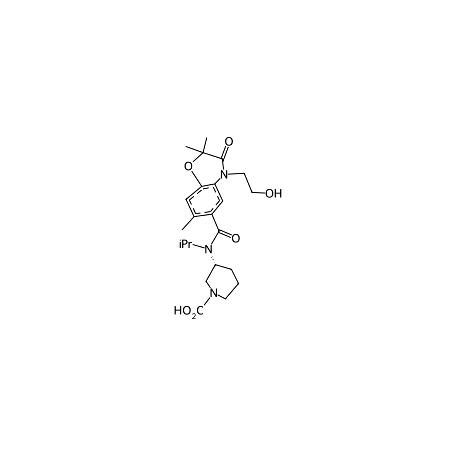 Cc1cc2c(cc1C(=O)N(C(C)C)[C@@H]1CCCN(C(=O)O)C1)N(CCO)C(=O)C(C)(C)O2